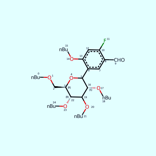 CCCCOC[C@H]1OC(c2cc(C=O)c(F)cc2OCCCC)[C@H](OCCCC)C(OCCCC)[C@@H]1OCCCC